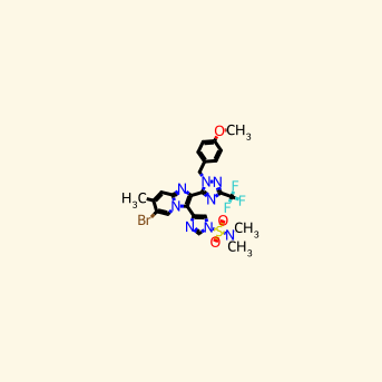 COc1ccc(Cn2nc(C(F)(F)F)nc2-c2nc3cc(C)c(Br)cn3c2-c2cn(S(=O)(=O)N(C)C)cn2)cc1